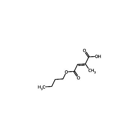 CCCCOC(=O)/C=C(\C)C(=O)O